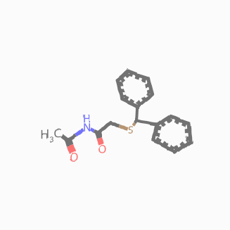 CC(=O)NC(=O)CSC(c1ccccc1)c1ccccc1